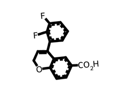 O=C(O)c1ccc2c(c1)C(c1cccc(F)c1F)=CCO2